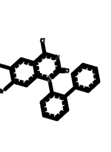 O=c1nc(Cl)c2cc(Cl)c(Br)cc2n1-c1ccccc1-c1ccccc1